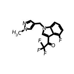 Cn1cc(Cn2cc(C(=O)C(F)(F)F)c3c(F)cccc32)cn1